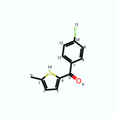 Cc1ccc(C(=O)c2ccc(F)cc2)s1